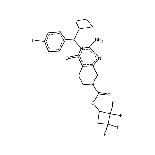 Nc1nc2c(c(=O)n1C(c1ccc(F)cc1)C1CCC1)CCN(C(=O)OC1CC(F)(F)C1(F)F)C2